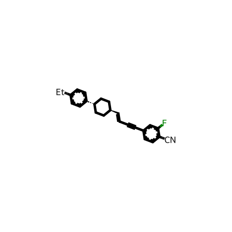 CCc1ccc([C@H]2CC[C@H](C=CC#Cc3ccc(C#N)c(F)c3)CC2)cc1